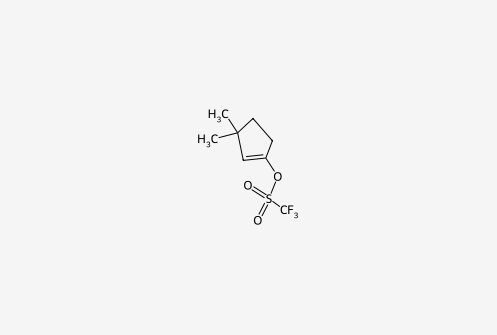 CC1(C)C=C(OS(=O)(=O)C(F)(F)F)CC1